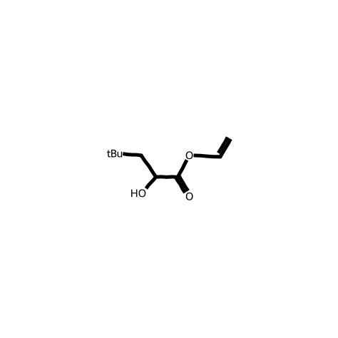 C=COC(=O)C(O)CC(C)(C)C